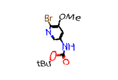 COc1cc(NC(=O)OC(C)(C)C)cnc1Br